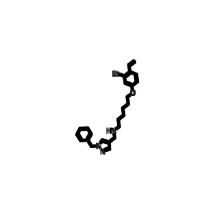 C=Cc1ccc(OCCCCCCNCc2cnn(Cc3ccccc3)c2)cc1CC